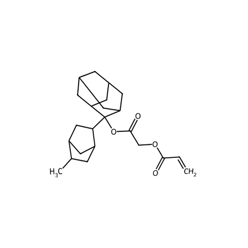 C=CC(=O)OCC(=O)OC1(C2CC3CC2CC3C)C2CC3CC(C2)CC1C3